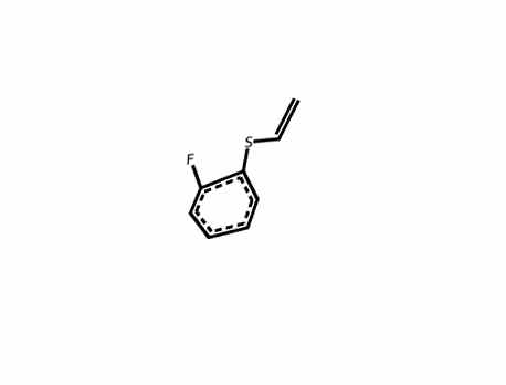 C=CSc1ccccc1F